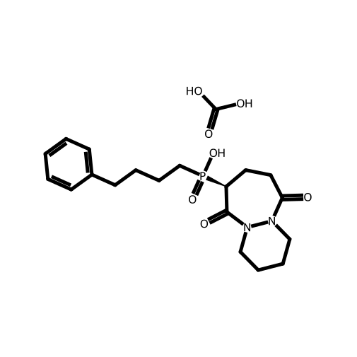 O=C(O)O.O=C1CC[C@H](P(=O)(O)CCCCc2ccccc2)C(=O)N2CCCCN12